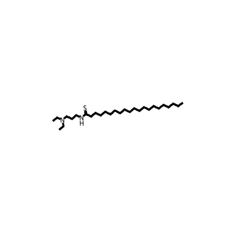 CCCCCCCCCCCCCCCCCCCCC(=S)NCCCN(CC)CC